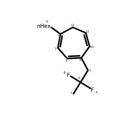 CCCCCCC1=CC=C(CC(C)(F)F)C=CC1